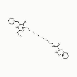 CC(C)(C)OC(=O)N[C@@H](Cc1ccccc1)C(=O)NCCCCCCCCCCCNC(=O)[C@H](Cc1ccccc1)NC(=O)O